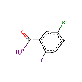 O=C(P)c1cc(Br)ccc1I